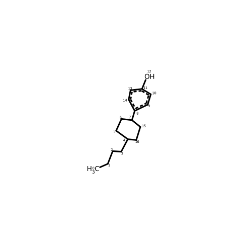 CCCCC1CCC(c2ccc(O)cc2)CC1